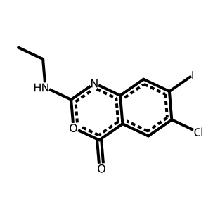 CCNc1nc2cc(I)c(Cl)cc2c(=O)o1